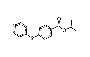 CC(C)OC(=O)c1ccc(Sc2ccncc2)cc1